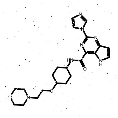 O=C(NC1CCC(OCCN2CCOCC2)CC1)c1nc(-n2ccnc2)nc2cc[nH]c12